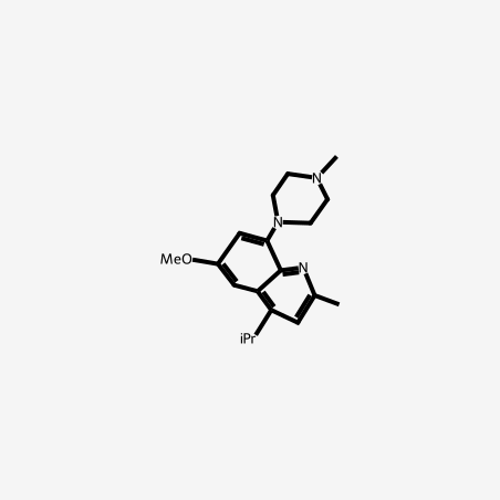 COc1cc(N2CCN(C)CC2)c2nc(C)cc(C(C)C)c2c1